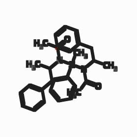 CC(=O)N(C(C)Cc1ccccc1)[Si](C)(c1ccccc1)N(C(C)=O)C(C)Cc1ccccc1